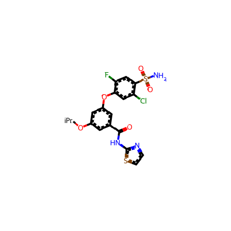 CC(C)Oc1cc(Oc2cc(Cl)c(S(N)(=O)=O)cc2F)cc(C(=O)Nc2nccs2)c1